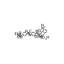 CCN(CC)S(=O)(=O)c1ccc(/N=N/c2cc(OC)c(/N=N/c3c(S(=O)(=O)O)cc4cccc(N)c4c3O)cc2C)cc1